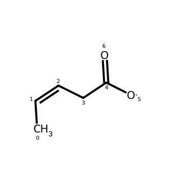 C/C=C\CC([O])=O